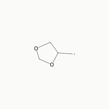 [CH]C1COCO1